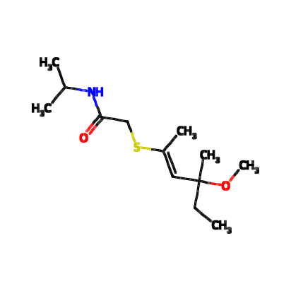 CCC(C)(/C=C(\C)SCC(=O)NC(C)C)OC